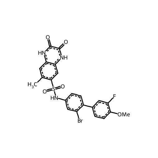 COc1ccc(-c2ccc(NS(=O)(=O)c3cc4[nH]c(=O)c(=O)[nH]c4cc3C)cc2Br)cc1F